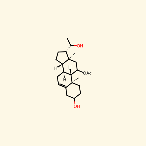 CC(=O)OC1C[C@]2(C)[C@@H](C(C)O)CC[C@H]2[C@@H]2CC=C3CC(O)CC[C@]3(C)[C@@H]12